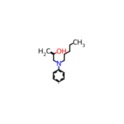 C=C(O)CN(CCCCC)c1cc[c]cc1